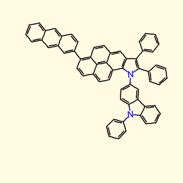 c1ccc(-c2c(-c3ccccc3)n(-c3ccc4c(c3)c3ccccc3n4-c3ccccc3)c3c2cc2ccc4c(-c5ccc6cc7ccccc7cc6c5)ccc5ccc3c2c54)cc1